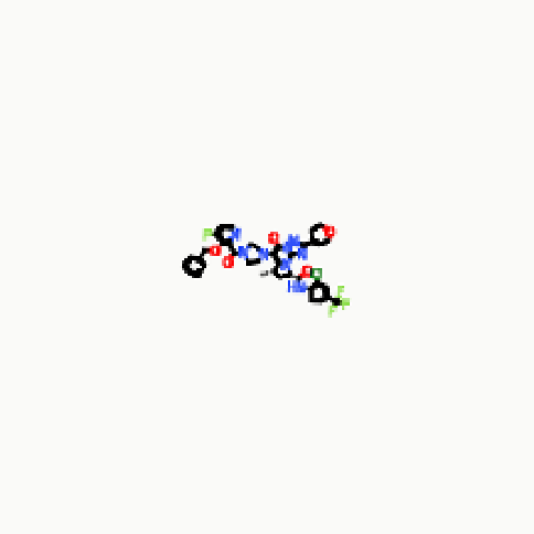 C[C@H]1C[C@@H](C(=O)Nc2ccc(C(F)(F)F)cc2Cl)n2c1c(N1CCN(C(=O)c3nccc(F)c3OCc3ccccc3)CC1)c(=O)n1nc(C3=CCOCC3)nc21